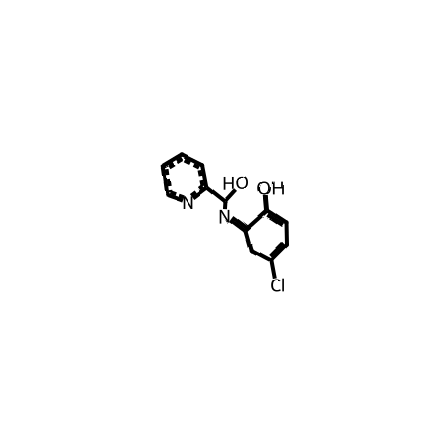 OC1=CC=C(Cl)CC1=NC(O)c1ccccn1